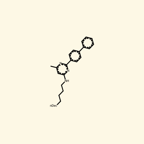 CCCCCCCCCCCCCCNc1cc(C)nc(-c2ccc(-c3ccccc3)cc2)n1